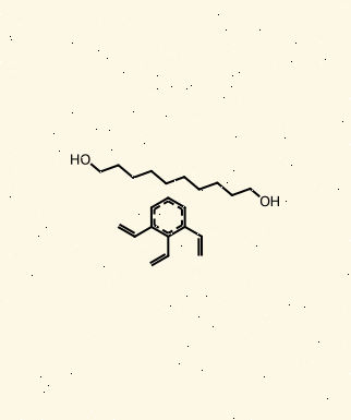 C=Cc1cccc(C=C)c1C=C.OCCCCCCCCCCO